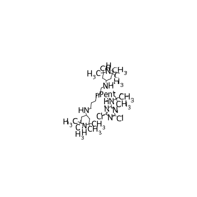 CC1(C)CC(NCCCCCCNC2CC(C)(C)NC(C)(C)C2)CC(C)(C)N1.CCCCCC(C)(C)Nc1nc(Cl)nc(Cl)n1